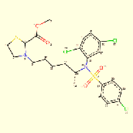 COC(=O)C1SCCN1CCCC[C@@H](C)N(c1cc(Cl)ccc1Cl)S(=O)(=O)c1ccc(Cl)cc1